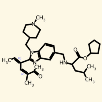 C/C=C(\C=C(\C)C(C)=O)c1nc2cc(CNC(CC(C)C)C(=O)OC3CCCC3)ccc2n1CC1CCN(C)CC1